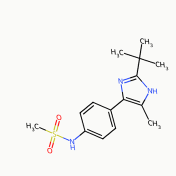 Cc1[nH]c(C(C)(C)C)nc1-c1ccc(NS(C)(=O)=O)cc1